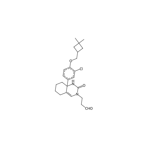 CC1(C)CC(COc2ccc(C34CCCCC3=CN(CCC=O)C(=O)N4)cc2Cl)C1